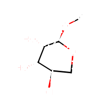 CO[C@H]1OC[C@@H](O)[C@H](O)[C@@H]1O